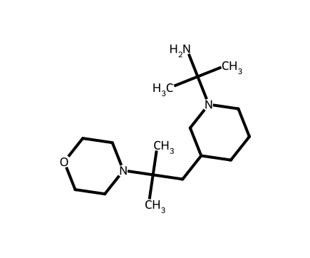 CC(C)(N)N1CCCC(CC(C)(C)N2CCOCC2)C1